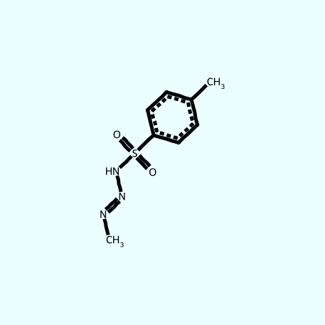 CN=NNS(=O)(=O)c1ccc(C)cc1